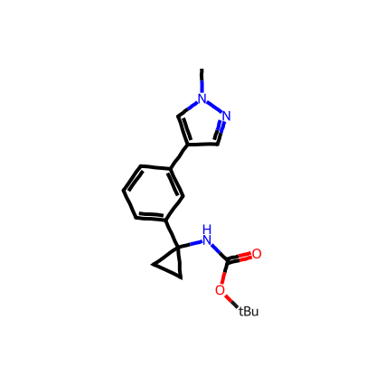 Cn1cc(-c2cccc(C3(NC(=O)OC(C)(C)C)CC3)c2)cn1